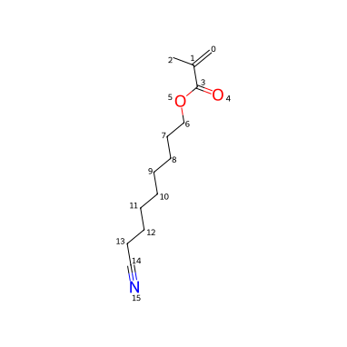 C=C(C)C(=O)OCCCCCCCCC#N